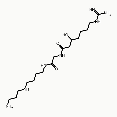 N=C(N)NCCCCC(O)CC(=O)NCC(=O)NCCCCNCCCN